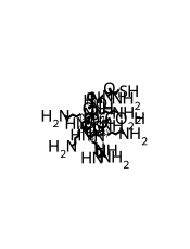 CC(C)[C@H](NC(=O)[C@H](CCCCN)NC(=O)[C@H](CCCNC(=N)N)NC(=O)[C@H](CCCCN)NC(=O)[C@H](CCCCN)NC(=O)[C@H](CCCCN)NC(=O)[C@@H]1CCCN1C(=O)CNC(=O)[C@@H](N)CS)C(=O)O